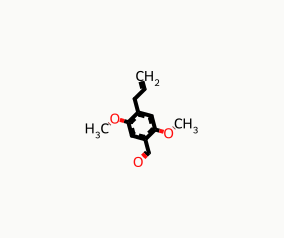 C=CCc1cc(OC)c(C=O)cc1OC